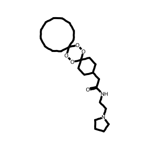 O=C(CC1CCC2(CC1)OOC1(CCCCCCCCCCC1)OO2)NCCN1CCCC1